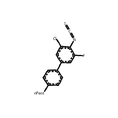 CCCCCc1ccc(-c2cc(F)c(N=C=S)c(Cl)c2)cc1